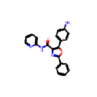 Nc1ccc(-c2oc(-c3ccccc3)nc2C(=O)Nc2ccccn2)cc1